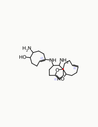 NC1CC/C(NC2CC/C(OC3CC/C=C/CCC3O)=C/CCC2N)=C/CCC1O